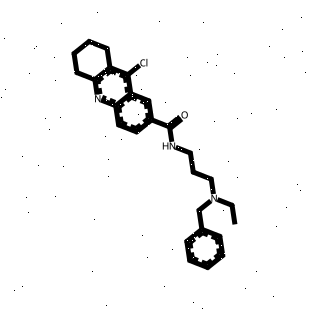 CCN(CCCNC(=O)c1ccc2nc3c(c(Cl)c2c1)CCCC3)Cc1ccccc1